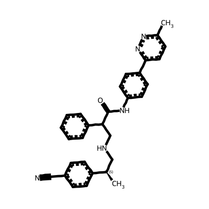 Cc1ccc(-c2ccc(NC(=O)C(CNC[C@@H](C)c3ccc(C#N)cc3)c3ccccc3)cc2)nn1